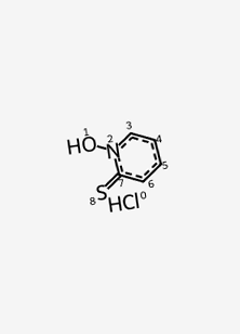 Cl.On1ccccc1=S